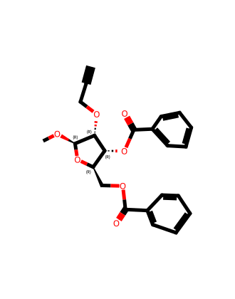 C#CCO[C@H]1[C@H](OC)O[C@H](COC(=O)c2ccccc2)[C@H]1OC(=O)c1ccccc1